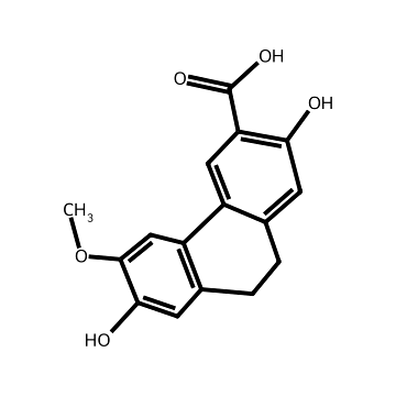 COc1cc2c(cc1O)CCc1cc(O)c(C(=O)O)cc1-2